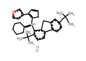 CC(C)(C)c1ccc2c(c1)Cc1c-2ccc(C(C)(C)C)[c]1[Zr+2]([C]1=C(c2ccoc2)C=CC1)=[C]1CCCCC1.[Cl-].[Cl-]